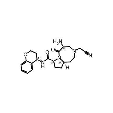 N#CCN1CC[C@H]2CC[C@@H](C(=O)N[C@@H]3CCOc4ccccc43)N2C(=O)[C@@H](N)C1